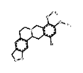 COc1cc(Br)c2c(c1OC)CN1CCc3cc4c(cc3C1C2)OOC4